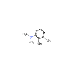 CN(C)c1[c]ccc(C(C)(C)C)c1C(C)(C)C